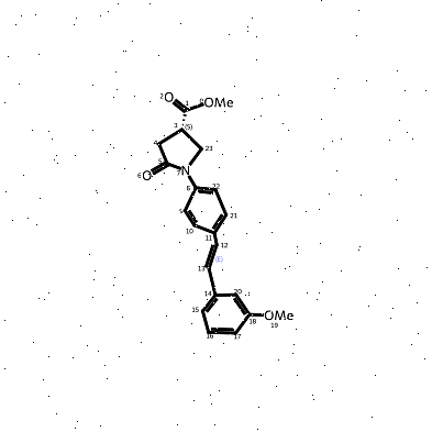 COC(=O)[C@H]1CC(=O)N(c2ccc(/C=C/c3cccc(OC)c3)cc2)C1